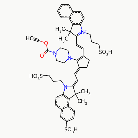 C#COC(=O)N1CCN(C2=C(C=CC3=[N+](CCCS(=O)(=O)O)c4ccc5ccccc5c4C3(C)C)CC/C2=C\C=C2N(CCCS(=O)(=O)O)c3ccc4cc(S(=O)(=O)O)ccc4c3C2(C)C)CC1